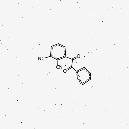 N#Cc1cccc(C(=O)C(=O)c2ccccc2)c1C#N